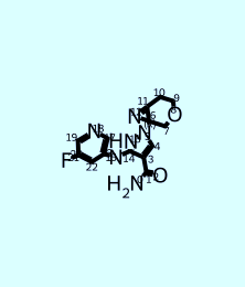 NC(=O)c1cn([C@@]23COCCC2=N3)nc1Nc1cncc(F)c1